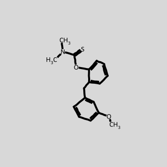 COc1cccc(Cc2ccccc2OC(=S)N(C)C)c1